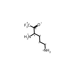 NCCCC(N)C(=O)C(F)(F)F